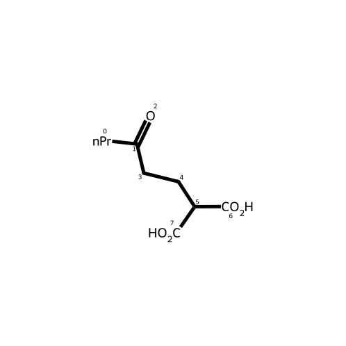 CCCC(=O)CCC(C(=O)O)C(=O)O